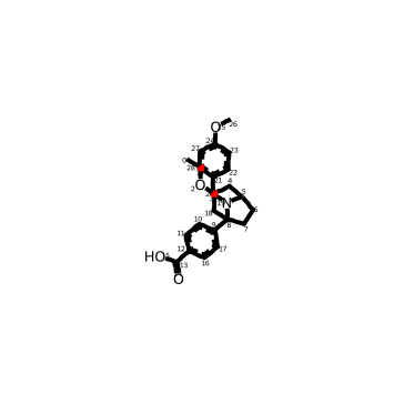 CCOC1CC2CCC(c3ccc(C(=O)O)cc3)(C1)N2Cc1ccc(OC)cc1